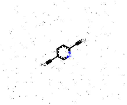 C#Cc1ccc(C#C)nc1